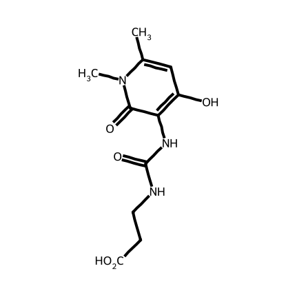 Cc1cc(O)c(NC(=O)NCCC(=O)O)c(=O)n1C